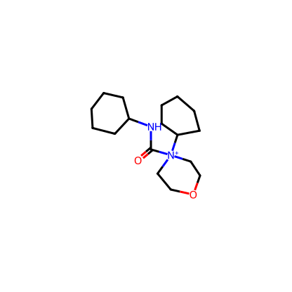 O=C(NC1CCCCC1)[N+]1(C2CCCCC2)CCOCC1